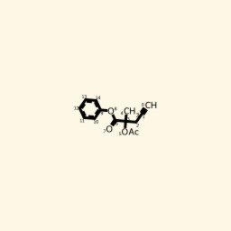 C#CCC(C)(OC(C)=O)C(=O)Oc1ccccc1